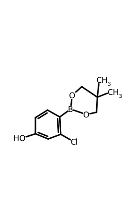 CC1(C)COB(c2ccc(O)cc2Cl)OC1